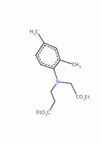 CCOC(=O)CCN(CC(=O)OCC)c1ccc(C)cc1C